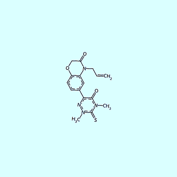 C=CCN1C(=O)COc2ccc(-c3nn(C)c(=S)n(C)c3=O)cc21